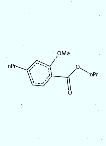 CCCOC(=O)c1ccc(CCC)cc1OC